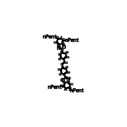 CCCCCc1cc(CCCCC)c2oc(-c3ccc(C=Cc4ccc(-c5nc6cc(CCCCC)cc(CCCCC)c6o5)cc4)cc3)nc2c1